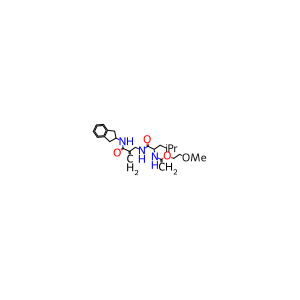 C=C(NC(CC(C)C)C(=O)NCC(=C)C(=O)NC1Cc2ccccc2C1)OCCOC